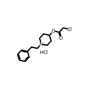 Cl.O=C(CCl)OC1CCN(CCc2ccccc2)CC1